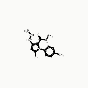 Cc1ccc(-n2c(C)cc(NPP)c2C(=O)OP)cc1